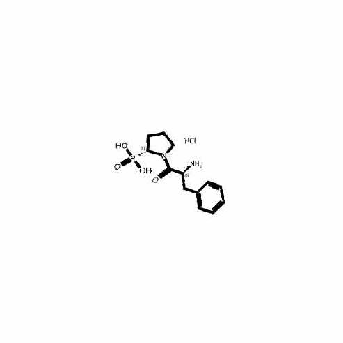 Cl.N[C@@H](Cc1ccccc1)C(=O)N1CCC[C@H]1P(=O)(O)O